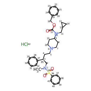 CN(C[C@H](CCN1CCC(N(CC2CC2)C(=O)OCc2ccccc2)CC1)c1ccccc1)S(=O)(=O)c1ccccc1.Cl